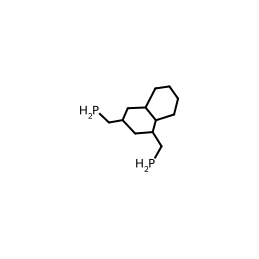 PCC1CC(CP)C2CCCCC2C1